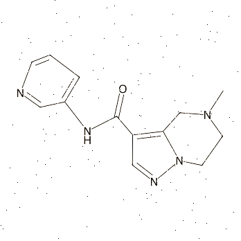 CN1CCn2ncc(C(=O)Nc3cccnc3)c2C1